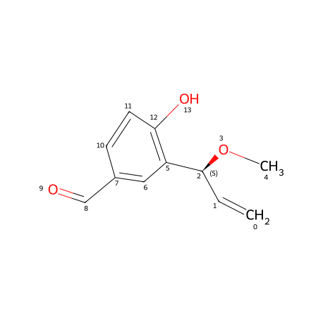 C=C[C@H](OC)c1cc(C=O)ccc1O